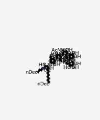 CCCCCCCCCCCCC/C=C/[C@@H](O)[C@H](CO[C@@H]1OC(CO)[C@@H](O[C@@H]2OC(CO)[C@H](O)[C@H](O[C@@H]3OC(CO)[C@@H](O[C@@H]4OC(CO)[C@H](O[C@@H]5OC(CO)[C@H](O)[C@H](O)C5O)[C@H](O)C4O)[C@H](O)C3NC(C)=O)C2O)[C@H](O)C1O)NC(=O)CCCCCCCCCCCCCCCCC